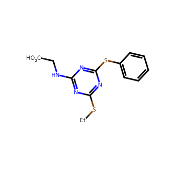 CCSc1nc(NCC(=O)O)nc(Sc2ccccc2)n1